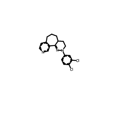 Clc1ccc(N2CCC3CCCc4ccncc4C3=N2)cc1Cl